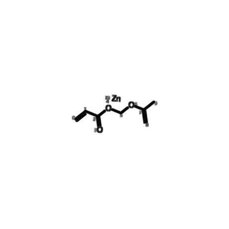 C=CC(=O)OCOC(=C)C.[Zn]